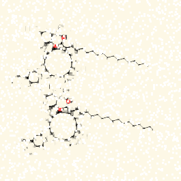 CCCCCCCCCCCCCCCCCC(=O)O[C@H]1[C@H](O[C@@H]2[C@@H](C)[C@H](O[C@H]3C[C@@](C)(OC)[C@@H](O)[C@H](C)O3)[C@@H](C)C(=O)O[C@H](CC)[C@@](C)(O)[C@H](O)[C@@H](C)C(=O)[C@H](C)C[C@@]2(C)O)O[C@H](C)C[C@@H]1N(C)C.CCCCCCCCCCCCCCCCCC(=O)O[C@H]1[C@H](O[C@@H]2[C@@H](C)[C@H](O[C@H]3C[C@@](C)(OC)[C@@H](O)[C@H](C)O3)[C@@H](C)C(=O)O[C@H](CC)[C@@](C)(O)[C@H](O)[C@@H](C)C(=O)[C@H](C)C[C@@]2(C)O)O[C@H](C)C[C@@H]1N(C)C